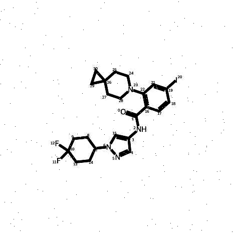 O=C(Nc1cnn(C2CCC(F)(F)CC2)c1)c1ccc(I)cc1N1CCC2(CC1)CC2